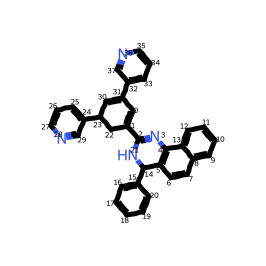 C1=C(C2=Nc3c(ccc4ccccc34)C(c3ccccc3)N2)CC(c2cccnc2)C=C1c1cccnc1